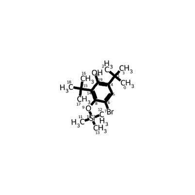 CC(C)(C)c1cc(Br)c(O[Si](C)(C)C)c(C(C)(C)C)c1O